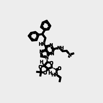 CCNC(=O)[C@H]1O[C@@H](n2cnc3c(NCC(c4ccccc4)c4ccccc4)nc(NCCN(C)C)nc32)[C@@H]2OC(C)(C)O[C@@H]21